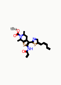 C=C/C=C\C=C1/CN=C(c2c(NC(=O)C=C)sc3c2CC(C)N(C(=O)OC(C)(C)C)C3C)S1